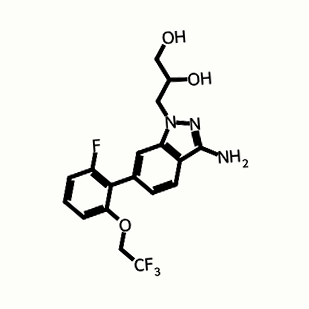 Nc1nn(CC(O)CO)c2cc(-c3c(F)cccc3OCC(F)(F)F)ccc12